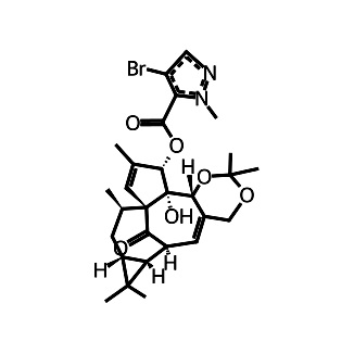 CC1=C[C@]23C(=O)[C@@H](C=C4COC(C)(C)O[C@H]4[C@]2(O)[C@H]1OC(=O)c1c(Br)cnn1C)[C@H]1[C@@H](C[C@H]3C)C1(C)C